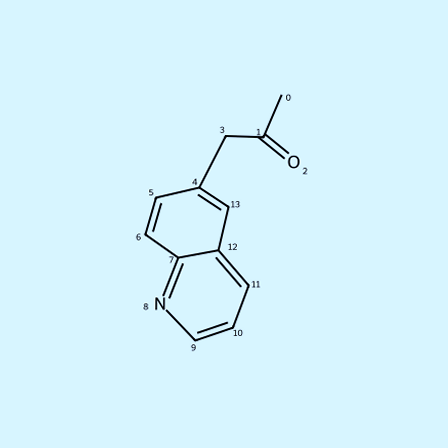 CC(=O)Cc1ccc2ncccc2c1